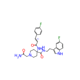 NC(=O)CN1CCC(NC(=O)/C=C/c2ccc(F)cc2)(C(=O)NCCc2c[nH]c3ccc(F)cc23)CC1